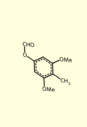 COc1cc(OC=O)cc(OC)c1C